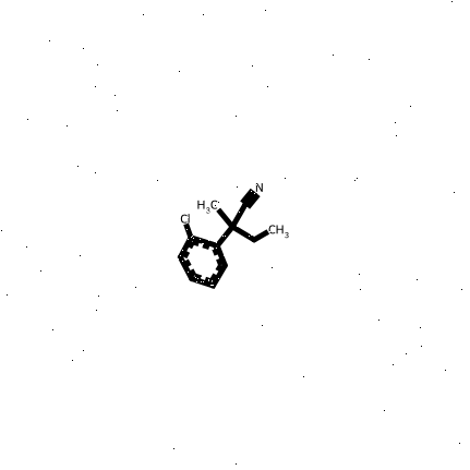 CCC(C)(C#N)c1ccccc1Cl